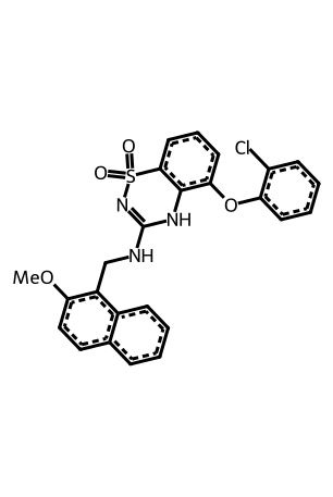 COc1ccc2ccccc2c1CNC1=NS(=O)(=O)c2cccc(Oc3ccccc3Cl)c2N1